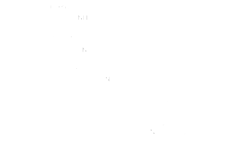 CCCCCNC(=O)N1CCN(c2ccc3c(c2)oc(=O)n3C)CC1(C)C